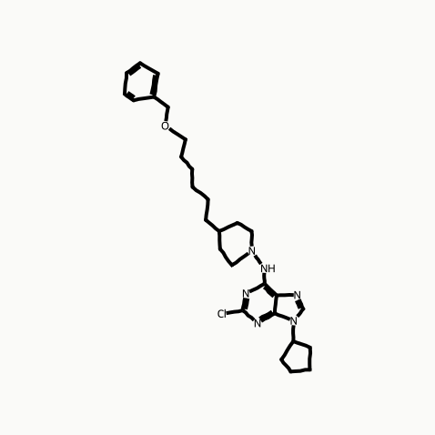 Clc1nc(NN2CCC(CCCCCCOCc3ccccc3)CC2)c2ncn(C3CCCC3)c2n1